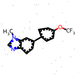 Cn1cnc2ccc(-c3ccc(OC(F)(F)F)cc3)cc21